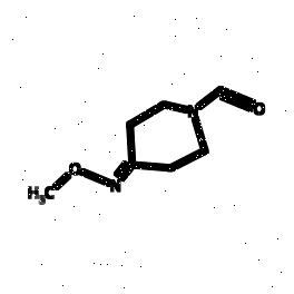 CON=C1CCN(C=O)CC1